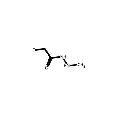 CNNC(=O)CF